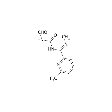 C/N=C(\NC(=O)NC=O)c1cccc(C(F)(F)F)n1